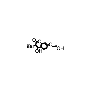 CCC(C)c1c(O)c2ccc(OCCO)cc2oc1=O